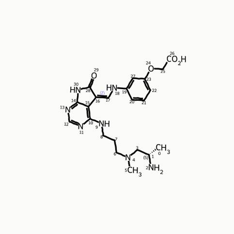 C[C@H](N)CN(C)CCCNc1ncnc2c1/C(=C/Nc1cccc(OCC(=O)O)c1)C(=O)N2